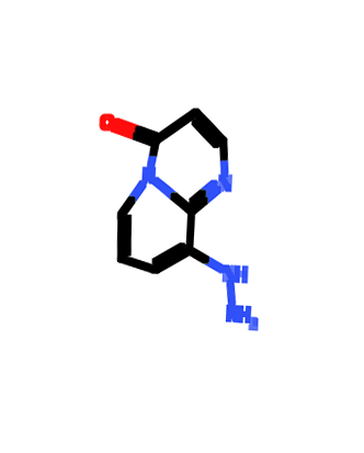 NNc1cccn2c(=O)ccnc12